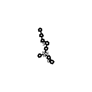 c1ccc(-c2ccc(-c3ccc4sc5c(-c6ccc(-c7nc(-c8ccccc8)nc(-c8ccc9c(c8)oc8ccccc89)n7)cc6)cccc5c4c3)cc2)cc1